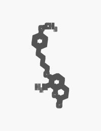 COc1ccc(CCCCOc2ccc3c(c2N)OC(=O)CC3)cc1